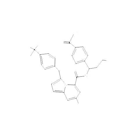 O=C(O)c1ccc(C(CCCl)NC(=O)c2cc(F)cc3ccc(Cc4ccc(C(F)(F)F)cc4)n23)cc1